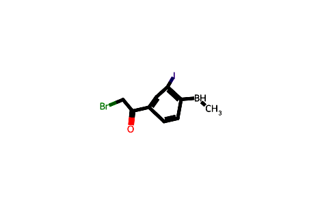 CBc1ccc(C(=O)CBr)cc1I